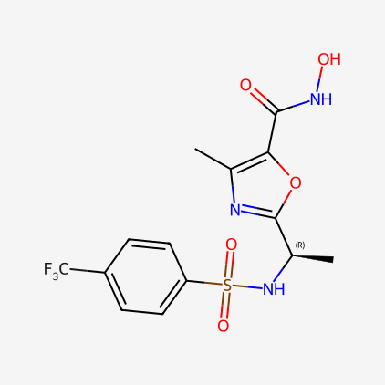 Cc1nc([C@@H](C)NS(=O)(=O)c2ccc(C(F)(F)F)cc2)oc1C(=O)NO